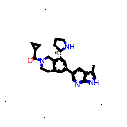 Cc1c[nH]c2ncc(-c3cc4c(c([C@@H]5CCCN5)c3)CN(C(=O)C3CC3)CC4)cc12